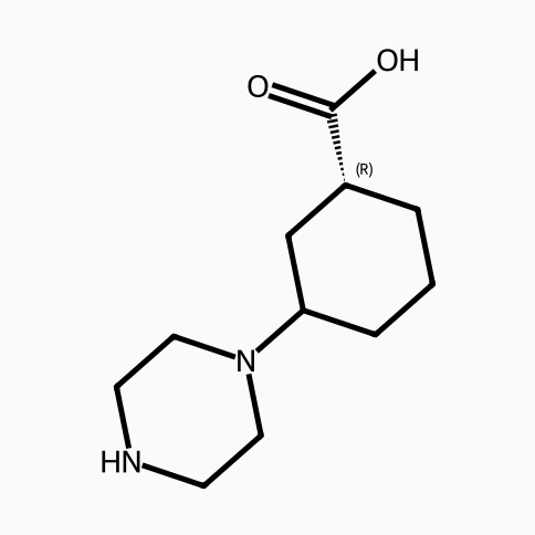 O=C(O)[C@@H]1CCCC(N2CCNCC2)C1